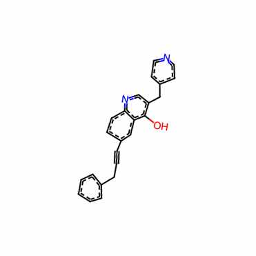 Oc1c(Cc2ccncc2)cnc2ccc(C#CCc3ccccc3)cc12